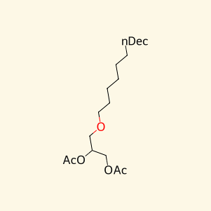 CCCCCCCCCCCCCCCCOCC(COC(C)=O)OC(C)=O